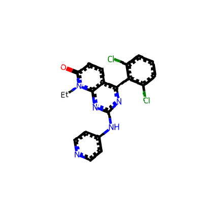 CCn1c(=O)ccc2c(-c3c(Cl)cccc3Cl)nc(Nc3ccncc3)nc21